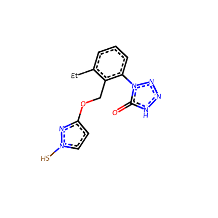 CCc1cccc(-n2nn[nH]c2=O)c1COc1ccn(S)n1